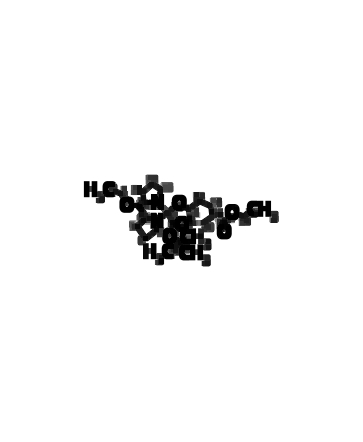 CCOC[C@@H]1CCCN1C(O[C@H]1CC[C@H](C(=O)OCC)CC1)(C(=O)OC(C)(C)C)N1CCCC1